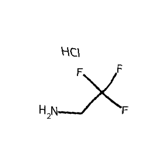 Cl.NCC(F)(F)F